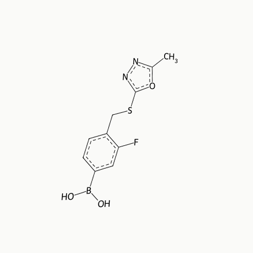 Cc1nnc(SCc2ccc(B(O)O)cc2F)o1